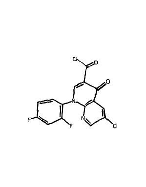 O=C(Cl)c1cn(-c2ccc(F)cc2F)c2ncc(Cl)cc2c1=O